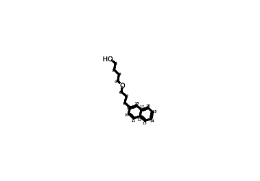 OCCCCOCCCc1ccc2ccccc2c1